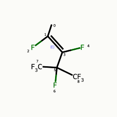 C/C(F)=C(\F)C(F)(C(F)(F)F)C(F)(F)F